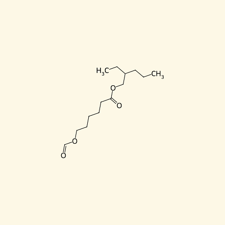 CCCC(CC)COC(=O)CCCCCOC=O